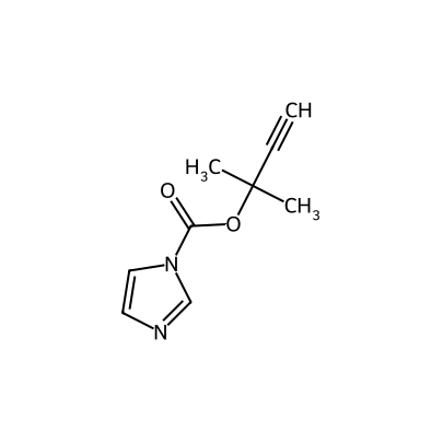 C#CC(C)(C)OC(=O)n1ccnc1